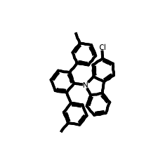 Cc1cccc(-c2cccc(-c3cccc(C)c3)c2-n2c3ccccc3c3ccc(Cl)cc32)c1